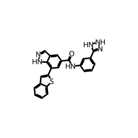 O=C(Nc1cccc(-c2n[nH][nH]2)c1)c1cc(-c2cc3ccccc3s2)c2[nH]ncc2c1